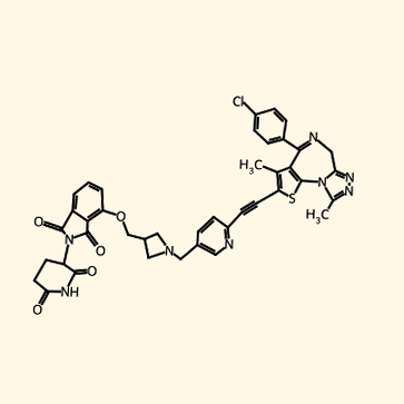 Cc1c(C#Cc2ccc(CN3CC(COc4cccc5c4C(=O)N(C4CCC(=O)NC4=O)C5=O)C3)cn2)sc2c1C(c1ccc(Cl)cc1)=NCc1nnc(C)n1-2